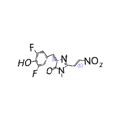 CN1C(=O)/C(=C\c2cc(F)c(O)c(F)c2)N=C1/C=C/[N+](=O)[O-]